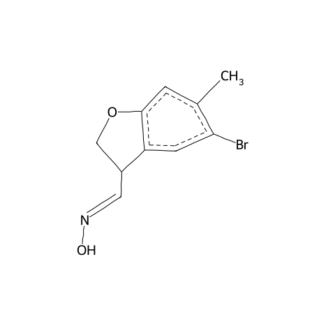 Cc1cc2c(cc1Br)C(C=NO)CO2